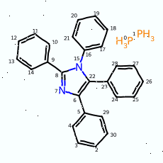 P.P.c1ccc(-c2nc(-c3ccccc3)n(-c3ccccc3)c2-c2ccccc2)cc1